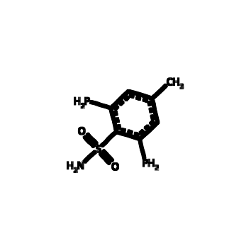 Cc1cc(P)c(S(N)(=O)=O)c(P)c1